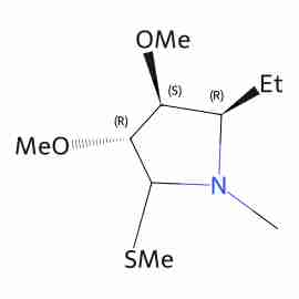 CC[C@@H]1[C@H](OC)[C@@H](OC)C(SC)N1C